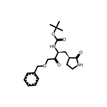 CC(C)(C)OC(=O)N[C@@H](C[C@@H]1CCNC1=O)C(=O)COCc1ccccc1